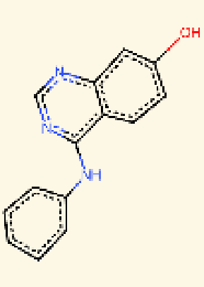 Oc1ccc2c(Nc3ccccc3)ncnc2c1